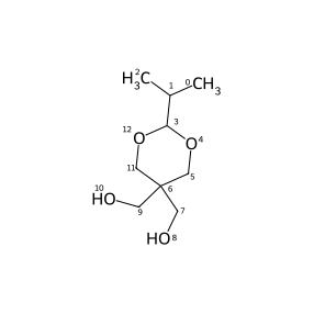 CC(C)C1OCC(CO)(CO)CO1